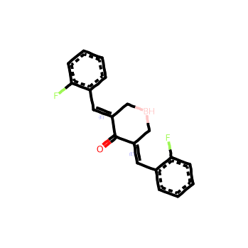 O=C1/C(=C/c2ccccc2F)CBC/C1=C\c1ccccc1F